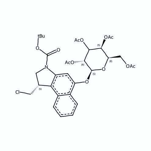 CC(=O)OC[C@H]1O[C@@H](Oc2cc3c(c4ccccc24)[C@H](CCl)CN3C(=O)OC(C)(C)C)[C@H](OC(C)=O)C(OC(C)=O)[C@H]1OC(C)=O